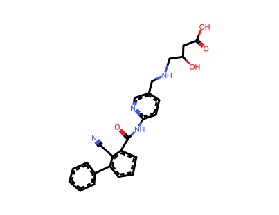 N#Cc1c(C(=O)Nc2ccc(CNCC(O)CC(=O)O)cn2)cccc1-c1ccccc1